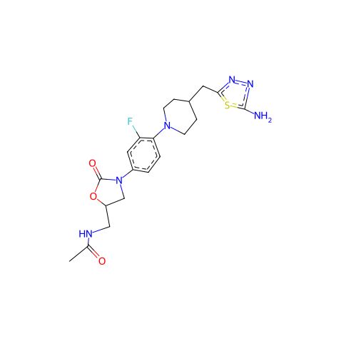 CC(=O)NCC1CN(c2ccc(N3CCC(Cc4nnc(N)s4)CC3)c(F)c2)C(=O)O1